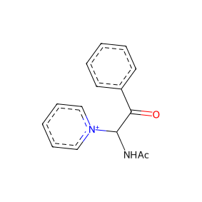 CC(=O)NC(C(=O)c1ccccc1)[n+]1ccccc1